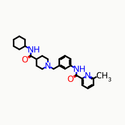 Cc1cccc(C(=O)Nc2cccc(CN3CCC(C(=O)NC4CCCCC4)CC3)c2)n1